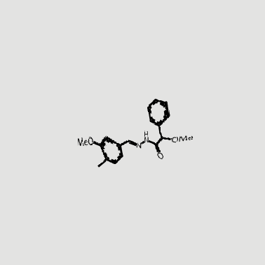 COc1cc(/C=N/NC(=O)C(OC)c2ccccc2)ccc1C